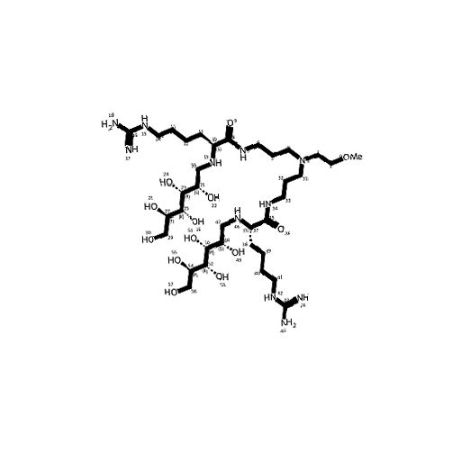 COCCN(CCCNC(=O)[C@H](CCCCNC(=N)N)NC[C@H](O)[C@@H](O)[C@H](O)[C@H](O)CO)CCCNC(=O)[C@H](CCCCNC(=N)N)NC[C@H](O)[C@@H](O)[C@H](O)[C@H](O)CO